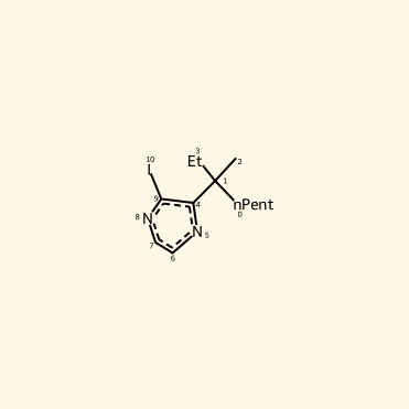 CCCCCC(C)(CC)c1nccnc1I